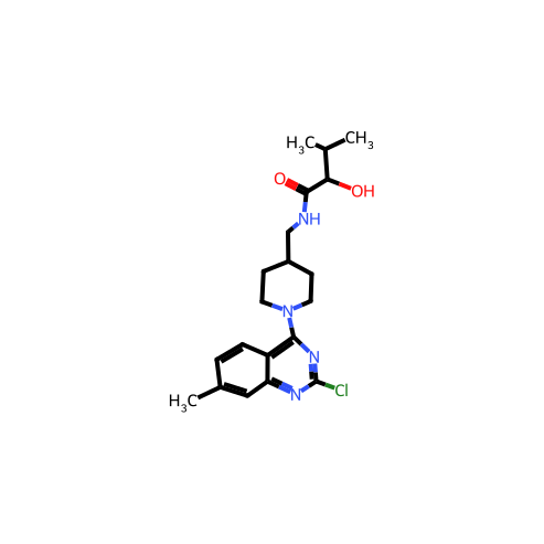 Cc1ccc2c(N3CCC(CNC(=O)C(O)C(C)C)CC3)nc(Cl)nc2c1